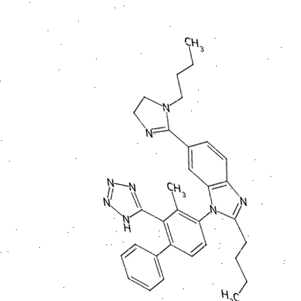 CCCCc1nc2ccc(C3=NCCN3CCCC)cc2n1-c1ccc(-c2ccccc2)c(-c2nnn[nH]2)c1C